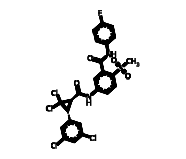 CS(=O)(=O)c1ccc(NC(=O)[C@H]2[C@H](c3cc(Cl)cc(Cl)c3)C2(Cl)Cl)cc1C(=O)Nc1ccc(F)cc1